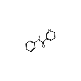 O=C(Nc1ccccc1)c1cccnc1